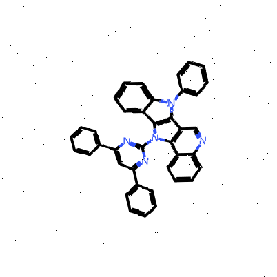 c1ccc(-c2cc(-c3ccccc3)nc(-n3c4c5ccccc5ncc4c4c3c3ccccc3n4-c3ccccc3)n2)cc1